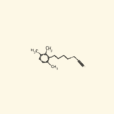 [C]#CCCCCCc1c(C)ccc(C)c1C